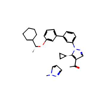 COC(=O)c1cnn(-c2cccc(-c3cccc(O[C@@H](C)C4CCCCC4)c3)c2)c1[C@@H]1C[C@H]1c1cnn(C)c1